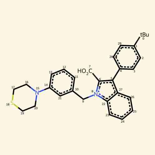 CC(C)(C)c1ccc(-c2c(C(=O)O)n(Cc3cccc(N4CCSCC4)c3)c3ccccc23)cc1